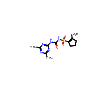 COc1nc(NC(=O)NS(=O)(=O)C2=C(C(=O)O)CCC2)nc(OC)n1